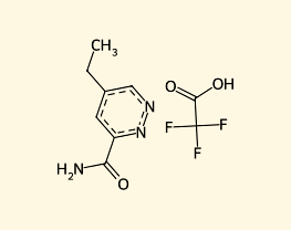 CCc1cnnc(C(N)=O)c1.O=C(O)C(F)(F)F